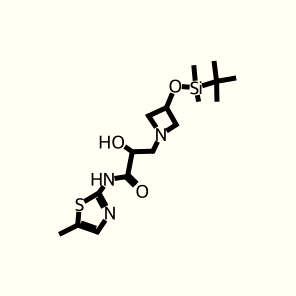 Cc1cnc(NC(=O)C(O)CN2CC(O[Si](C)(C)C(C)(C)C)C2)s1